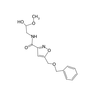 COC(O)CNC(=O)c1cc(COCc2ccccc2)on1